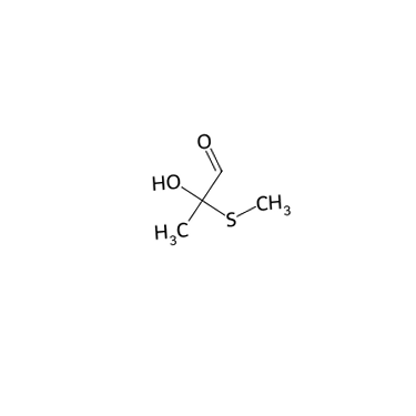 CSC(C)(O)C=O